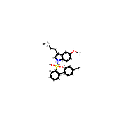 CCOc1ccc2c(c1)c(CCC(=O)O)cn2S(=O)(=O)c1ccccc1-c1ccc(C(C)C)cc1